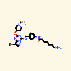 CC(C)c1cnn2c(NCc3ccc(NC(=O)CCCCCCN)cc3)nc(OC3CCN(C)CC3)nc12